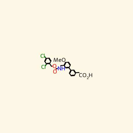 COc1ccc(-c2cccc(CC(=O)O)c2)cc1CNC(=O)OCc1ccc(Cl)cc1Cl